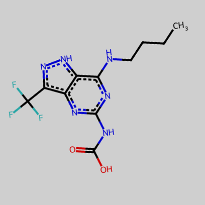 CCCCNc1nc(NC(=O)O)nc2c(C(F)(F)F)n[nH]c12